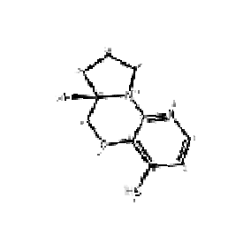 Sc1ccnc2c1OC[C@@H]1CCCN21